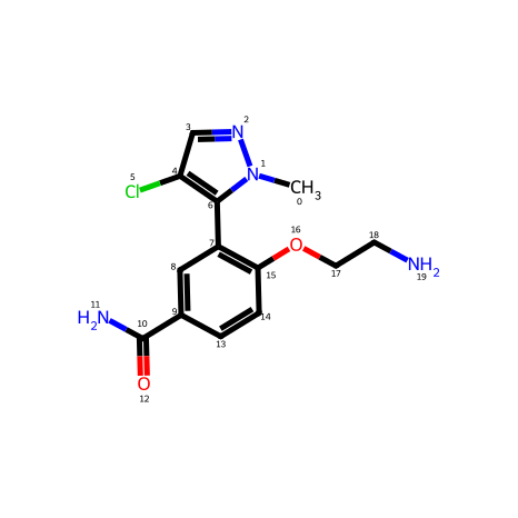 Cn1ncc(Cl)c1-c1cc(C(N)=O)ccc1OCCN